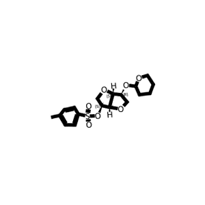 Cc1ccc(S(=O)(=O)O[C@H]2CO[C@@H]3[C@H]2OC[C@H]3OC2CCCCO2)cc1